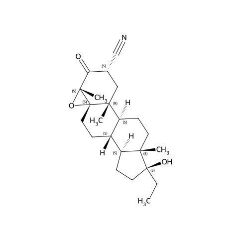 CC[C@]1(O)CC[C@H]2[C@@H]3CC[C@@]45O[C@]4(C)C(=O)[C@H](C#N)C[C@]5(C)[C@H]3CC[C@@]21C